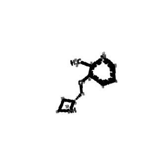 Cc1ncccc1OC[C@H]1CCN1